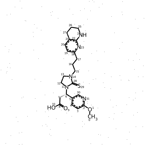 COc1ccc([C@H](CC(=O)O)N2CCN(CCCc3ccc4c(n3)NCCC4)C2=S)cn1